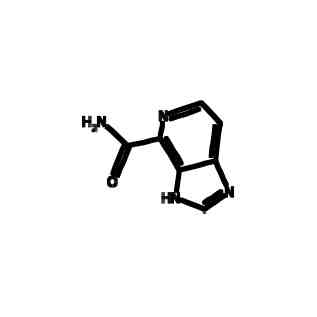 NC(=O)c1nccc2n[c][nH]c12